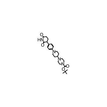 CC(C)(C)OC(=O)N1CCN(C2CCN(c3ccc(C4CCC(=O)NC4=O)cc3)CC2)CC1